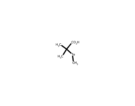 C[Te]C(C)(C)C(=O)O